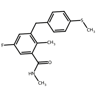 CNC(=O)c1cc(F)cc(Cc2ccc(SC)cc2)c1C